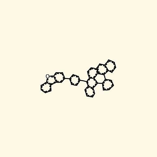 c1ccc(-c2c3ccccc3c(-c3ccc(-c4ccc5oc6ccccc6c5c4)cc3)c3ccccc23)c(-c2cccc3ccccc23)c1